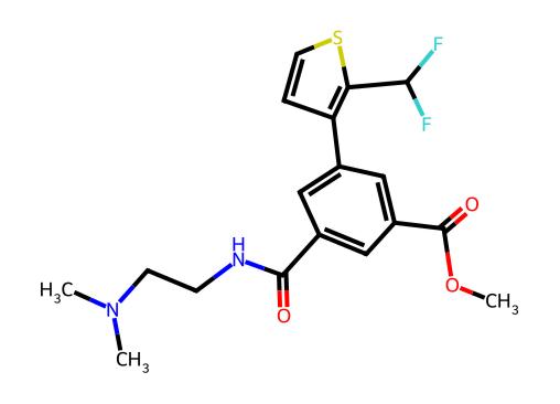 COC(=O)c1cc(C(=O)NCCN(C)C)cc(-c2ccsc2C(F)F)c1